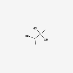 CC(O)[N+](C)(O)O